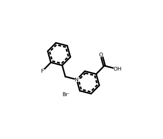 O=C(O)c1ccc[n+](Cc2ccccc2F)c1.[Br-]